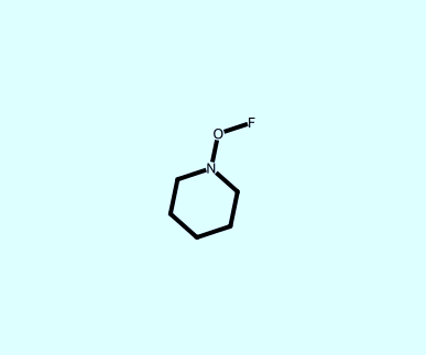 FON1CCCCC1